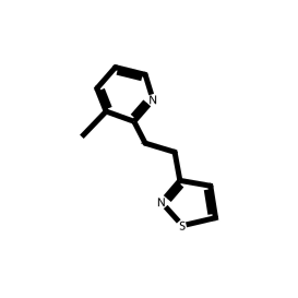 Cc1cccnc1[CH]Cc1ccsn1